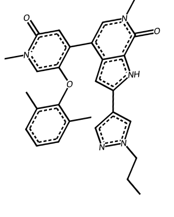 CCCn1cc(-c2cc3c(-c4cc(=O)n(C)cc4Oc4c(C)cccc4C)cn(C)c(=O)c3[nH]2)cn1